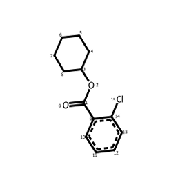 O=C(OC1CCCCC1)c1ccccc1Cl